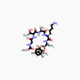 CCCCCCCCCC(=O)NCC(=O)N[C@H](C(=O)N[C@@H](C)C(=O)N[C@@H](CCCCN)C(=O)N[C@@H](C)B1O[C@@H]2C[C@@H]3C[C@@H](C3(C)C)[C@]2(C)O1)[C@@H](C)O